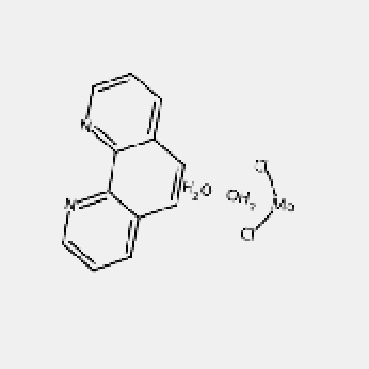 O.O.[Cl][Mo][Cl].c1cnc2c(c1)ccc1cccnc12